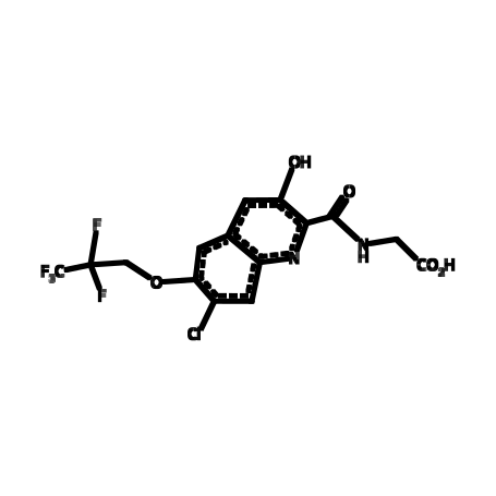 O=C(O)CNC(=O)c1nc2cc(Cl)c(OCC(F)(F)C(F)(F)F)cc2cc1O